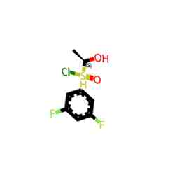 C[C@@H](O)[SH](=O)(Cl)c1cc(F)cc(F)c1